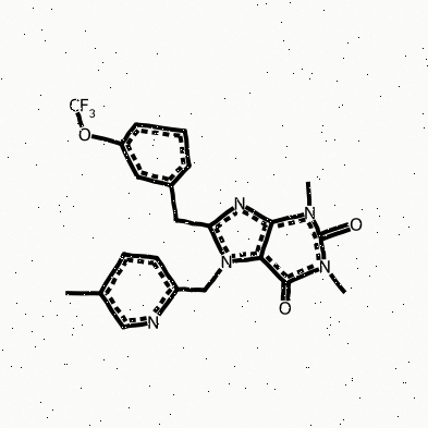 Cc1ccc(Cn2c(Cc3cccc(OC(F)(F)F)c3)nc3c2c(=O)n(C)c(=O)n3C)nc1